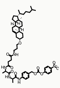 CC(C)CCCC(C)[C@H]1CC[C@H]2[C@@H]3CC=C4C[C@@H](OCCCNC(=O)CCC(=O)NC(C)C(=O)NC(C)C(=O)Nc5ccc(COC(=O)Oc6ccc([N+](=O)[O-])cc6)cc5)CC[C@]4(C)[C@H]3CC[C@]12C